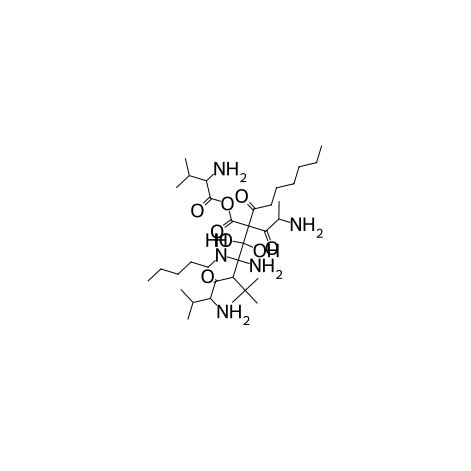 CCCCCCC(=O)C(C(=O)OC(=O)C(N)C(C)C)(C(=O)C(C)N)C(O)(O)C(N)(NCCCCC)C(C(=O)C(N)C(C)C)C(C)(C)C